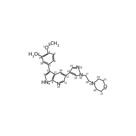 COc1ccc(-c2c[nH]c3ncc(-c4cnn(CCN5CCOCC5)c4)cc23)cc1C